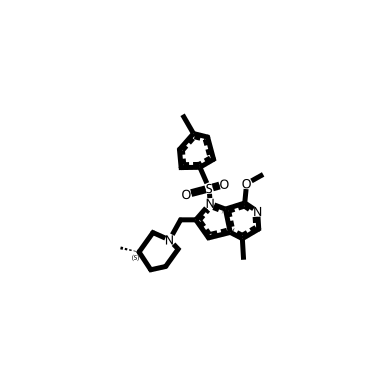 COc1ncc(C)c2cc(CN3CCC[C@H](C)C3)n(S(=O)(=O)c3ccc(C)cc3)c12